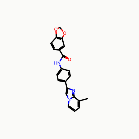 Cc1cccn2cc(-c3ccc(NC(=O)c4ccc5c(c4)OCO5)cc3)nc12